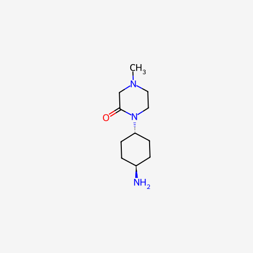 CN1CCN([C@H]2CC[C@H](N)CC2)C(=O)C1